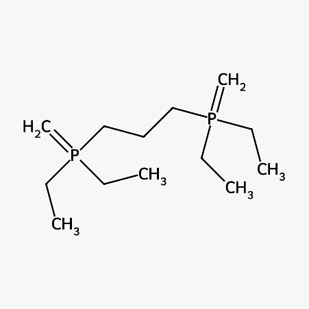 C=P(CC)(CC)CCCP(=C)(CC)CC